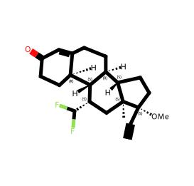 C#C[C@]1(OC)CC[C@H]2[C@@H]3CCC4=CC(=O)CC[C@@H]4[C@H]3[C@@H](C(F)F)C[C@@]21C